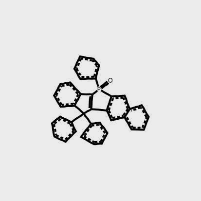 O=P1(c2ccccc2)C2=C(c3cc4ccccc4cc31)C(c1ccccc1)(c1ccccc1)c1ccccc12